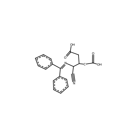 N#CC(N=C(c1ccccc1)c1ccccc1)C(CC(=O)O)CC(=O)O